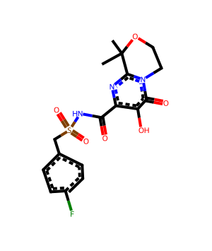 CC1(C)OCCn2c1nc(C(=O)NS(=O)(=O)Cc1ccc(F)cc1)c(O)c2=O